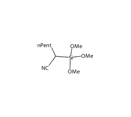 CCCCCC(C#N)[Si](OC)(OC)OC